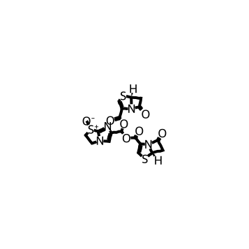 O=C(OC(OC(=O)C1=CS[C@H]2CC(=O)N12)c1cn2c(n1)[S+]([O-])CC2)C1=CS[C@H]2CC(=O)N12